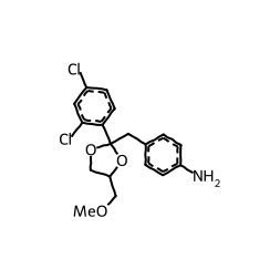 COCC1COC(Cc2ccc(N)cc2)(c2ccc(Cl)cc2Cl)O1